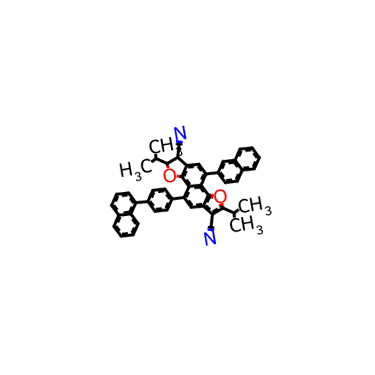 CC(C)c1oc2c(cc(-c3ccc(-c4cccc5ccccc45)cc3)c3c4c(cc(-c5ccc6ccccc6c5)c32)C(C#N)C(C(C)C)O4)c1C#N